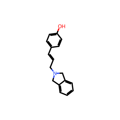 Oc1ccc(C=CCN2Cc3ccccc3C2)cc1